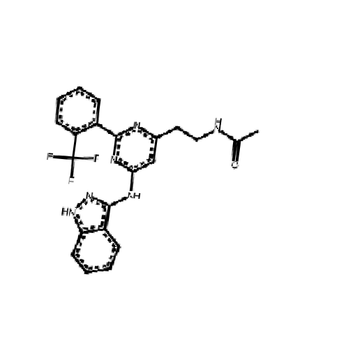 CC(=O)NCCc1cc(Nc2n[nH]c3ccccc23)nc(-c2ccccc2C(F)(F)F)n1